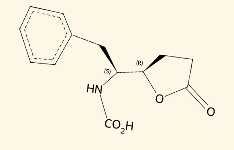 O=C(O)N[C@@H](Cc1ccccc1)[C@H]1CCC(=O)O1